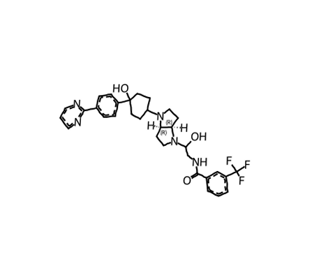 O=C(NCC(O)N1CC[C@@H]2[C@H]1CCN2C1CCC(O)(c2ccc(-c3ncccn3)cc2)CC1)c1cccc(C(F)(F)F)c1